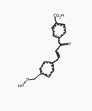 O=C(O)c1ccc(C(=O)C=Cc2ccc(COO)cc2)cc1